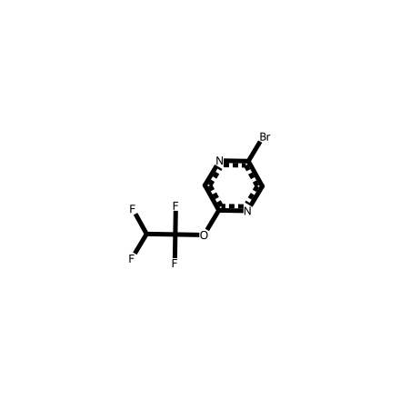 FC(F)C(F)(F)Oc1cnc(Br)cn1